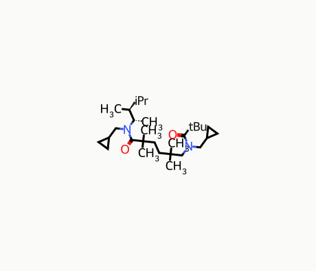 CC(C)[C@H](C)[C@H](C)N(CC1CC1)C(=O)C(C)(C)CCC(C)(C)CN(CC1CC1)C(=O)C(C)(C)C